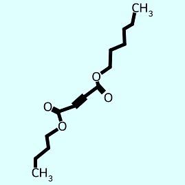 CCCCCCOC(=O)C#CC(=O)OCCCC